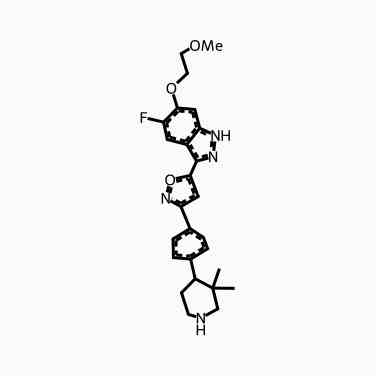 COCCOc1cc2[nH]nc(-c3cc(-c4ccc(C5CCNCC5(C)C)cc4)no3)c2cc1F